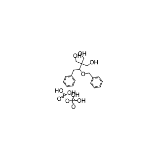 O=P(O)(O)OP(=O)(O)O.OCC(CO)(CO)C(Cc1ccccc1)OCc1ccccc1